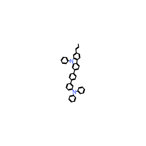 C/C=C/c1ccc2c3ccc(-c4ccc(-c5cccc(N(c6ccccc6)c6ccccc6)c5)cc4)cc3n(-c3ccccc3)c2c1